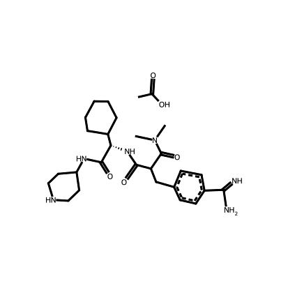 CC(=O)O.CN(C)C(=O)C(Cc1ccc(C(=N)N)cc1)C(=O)N[C@H](C(=O)NC1CCNCC1)C1CCCCC1